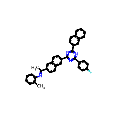 C/C(=N\c1ccccc1C)c1ccc2cc(-c3nc(-c4ccc(F)cc4)nc(-c4ccc5ccccc5c4)n3)ccc2c1